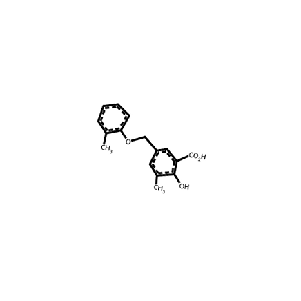 Cc1ccccc1OCc1cc(C)c(O)c(C(=O)O)c1